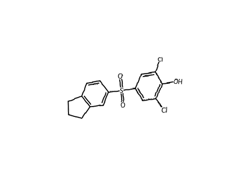 O=S(=O)(c1cc(Cl)c(O)c(Cl)c1)c1ccc2c(c1)CCC2